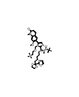 COc1cc2c(ccc(=O)n2C)cc1-c1cnc([C@H](CCCCCC2(c3ncco3)OCCO2)N(C)[S+]([O-])C(C)(C)C)n1COCC[Si](C)(C)C